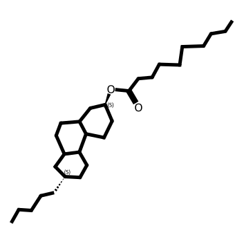 CCCCCCCCCC(=O)O[C@H]1CCC2C(CCC3C[C@@H](CCCCC)CCC32)C1